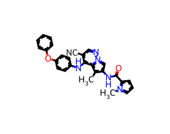 Cc1c(NC(=O)c2cccn2C)cn2ncc(C#N)c(Nc3ccc(Oc4ccccc4)cc3)c12